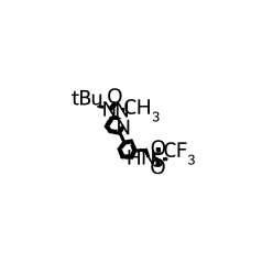 Cn1c(=O)n(CC(C)(C)C)c2ccc(-c3cccc(CNS(=O)(=O)CC(F)(F)F)c3)nc21